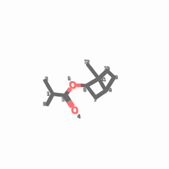 CC(C)C(=O)OC1CC2CCC21C